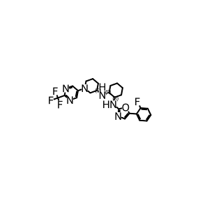 Fc1ccccc1-c1cnc(N[C@@H]2CCCC[C@H]2N[C@H]2CCCN(c3cnc(C(F)(F)F)nc3)C2)o1